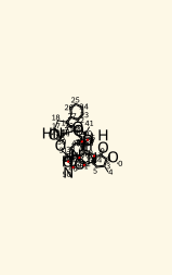 COc1c(C)cc2c(c1O)C1[C@@H]3[C@@H]4SC[C@]5(NCCc6c5oc5ccccc65)C(=O)OC[C@@H](c5c6c(c(C)c(OC(C)=O)c54)OCO6)N3C(C#N)(C2)CN1C